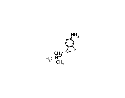 C[N+](C)(C)CCNc1ccc(N)cc1F